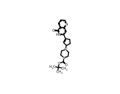 CC(C)(C)OC(=O)N1CCN(C2C=C(c3cc4ncccc4c(=O)[nH]3)CC2)CC1